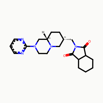 O=C1C2CCCCC2C(=O)N1C[C@H]1CC[C@H]2CN(c3ncccn3)CCN2C1